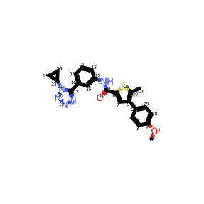 COc1ccc(-c2cc(C(=O)Nc3cccc(-c4nnnn4C4CC4)c3)sc2C)cc1